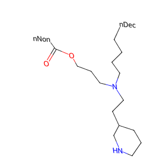 CCCCCCCCCCCCCCN(CCCOC(=O)CCCCCCCCC)CCC1CCCNC1